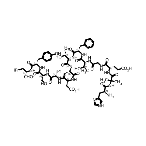 CC(C)C[C@@H]([C]=O)NC(=O)[C@H](Cc1ccc(O)cc1)NC(=O)[C@H](CO)NC(=O)[C@@H](NC(=O)[C@H](CC(=O)O)NC(=O)[C@H](CO)NC(=O)[C@@H](NC(=O)[C@H](Cc1ccccc1)NC(=O)[C@@H](NC(=O)CNC(=O)[C@H](CCC(=O)O)NC(=O)C(C)(C)NC(=O)[C@@H](N)Cc1c[nH]cn1)[C@@H](C)O)[C@@H](C)O)C(C)C